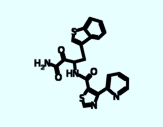 NC(=O)C(=O)C(Cc1csc2ccccc12)NC(=O)c1scnc1-c1ccccn1